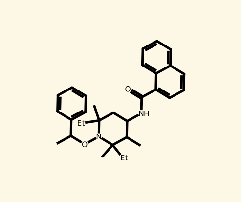 CCC1(C)CC(NC(=O)c2cccc3ccccc23)C(C)C(C)(CC)N1OC(C)c1ccccc1